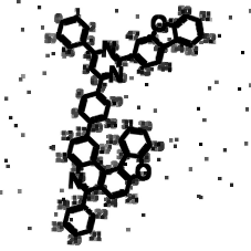 c1ccc(-c2cc(-c3ccc(-c4ccc5nc(-c6ccccc6)c6ccc7oc8ccccc8c7c6c5c4)cc3)nc(-c3ccc4c(c3)oc3ccccc34)n2)cc1